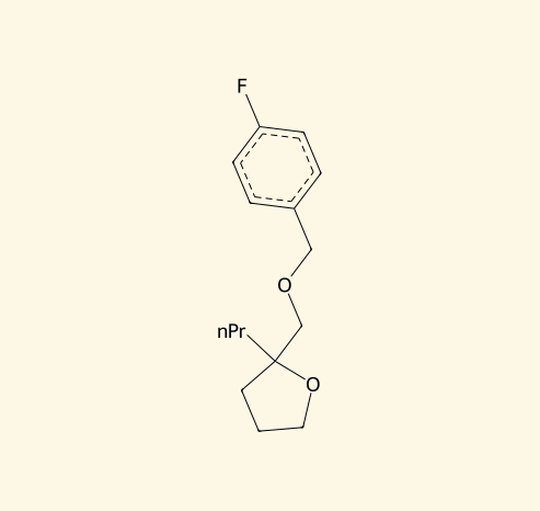 CCCC1(COCc2ccc(F)cc2)CCCO1